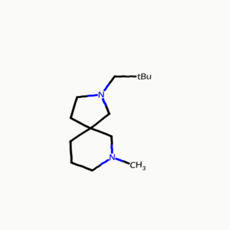 CN1CCCC2(CCN(CC(C)(C)C)C2)C1